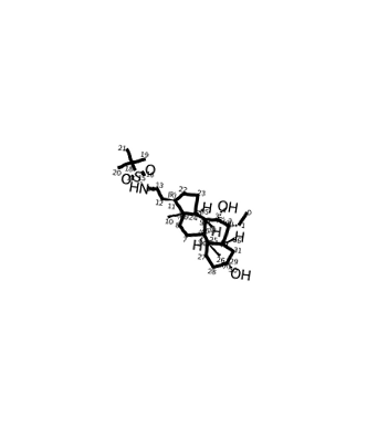 CC[C@H]1[C@@H](O)[C@@H]2[C@H](CC[C@]3(C)[C@@H](CCNS(=O)(=O)C(C)(C)C)CC[C@@H]23)[C@@]2(C)CC[C@@H](O)C[C@@H]12